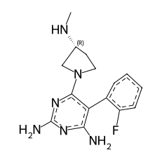 CN[C@@H]1CCN(c2nc(N)nc(N)c2-c2ccccc2F)C1